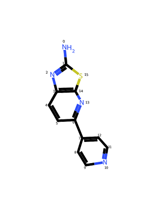 Nc1nc2ccc(-c3ccncc3)nc2s1